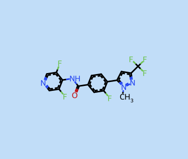 Cn1nc(C(F)(F)F)cc1-c1ccc(C(=O)Nc2c(F)cncc2F)cc1F